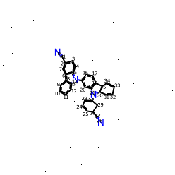 N#Cc1ccc2c(c1)c1ccccc1n2-c1ccc2c(c1)N(C1=CC=CC(C#N)C1)C1C=CC=CC21